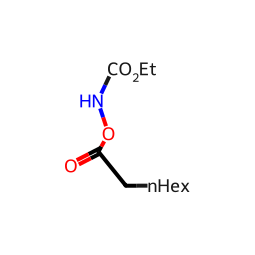 CCCCCCCC(=O)ONC(=O)OCC